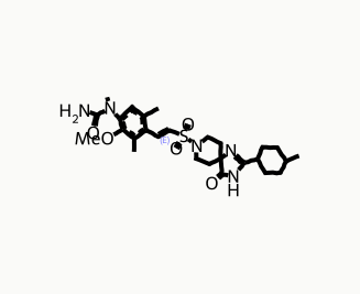 COc1c(N(C)C(N)=O)cc(C)c(/C=C/S(=O)(=O)N2CCC3(CC2)N=C(C2CCC(C)CC2)NC3=O)c1C